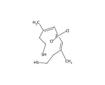 CC(=[CH][Zr]([Cl])([Cl])[CH]=C(C)CCS)CCS